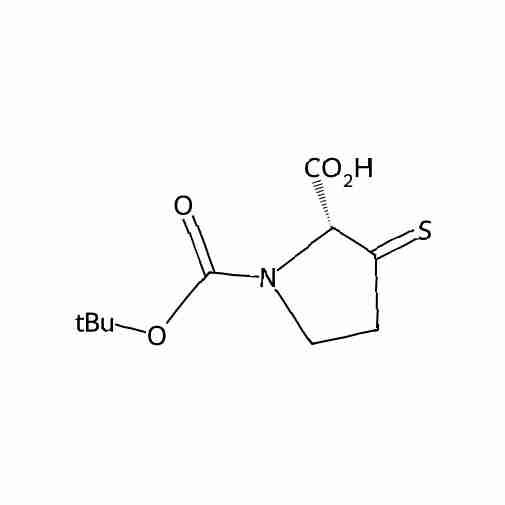 CC(C)(C)OC(=O)N1CCC(=S)[C@H]1C(=O)O